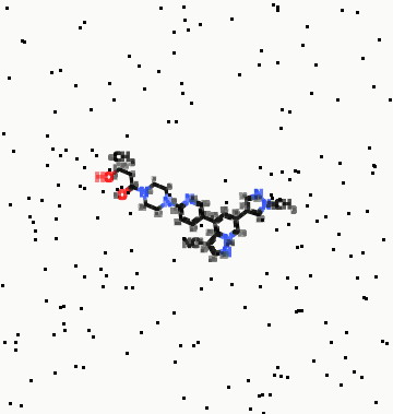 C[C@@H](O)CC(=O)N1CCN(c2ccc(-c3cc(-c4cnn(C)c4)cn4ncc(C#N)c34)cn2)CC1